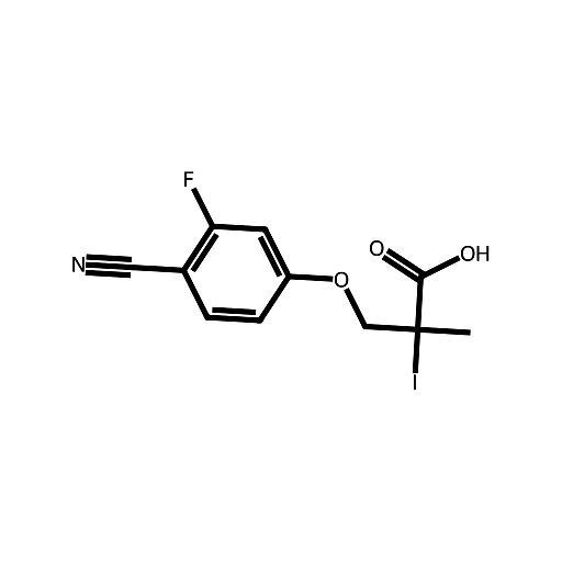 CC(I)(COc1ccc(C#N)c(F)c1)C(=O)O